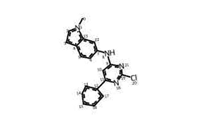 Cn1ccc2ccc(Nc3cc(-c4ccccc4)nc(Cl)n3)cc21